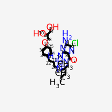 CCC[C@@H](CNC(=O)c1nc(Cl)c(N)nc1N)[N+](C)(C)CCCc1ccc(OCC(O)CO)cc1